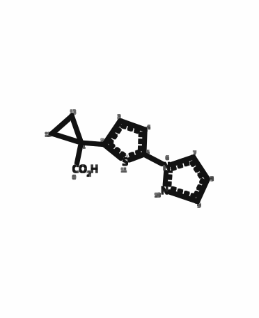 O=C(O)C1(c2ccc(-n3cccn3)s2)CC1